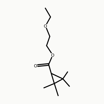 CCOCCOC(=O)C1C(C)(C)C1(C)C